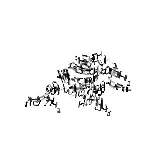 [3H]c1cc(CC(C)C(=O)OCOC(=O)CCc2ccc(O)cc2CCCC)c(CC([3H])CC)cc1O.[3H]c1cc(CCC(=O)OCOC(=O)CCc2ccc(O)cc2CCCC)c(CC([3H])CC)cc1O.[3H]c1cc(CCC(=O)OCOC(=O)CCc2ccc(O)cc2CCCC)c(CC([3H])CC)cc1O.[3H]c1cc(CCC(=O)OCOC(=O)CCc2ccc(O)cc2CCCC)c(CC([3H])CC)cc1O